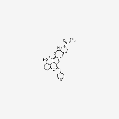 C=CC(=O)N1CCN2Cc3cc(OCc4ccncc4)c(-c4c(O)cccc4Cl)c(F)c3OC[C@H]2C1